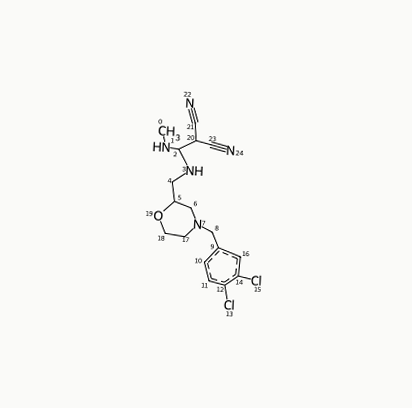 CNC(NCC1CN(Cc2ccc(Cl)c(Cl)c2)CCO1)C(C#N)C#N